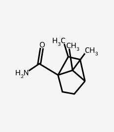 CC1CC2CCC1(C(N)=O)C2(C)C